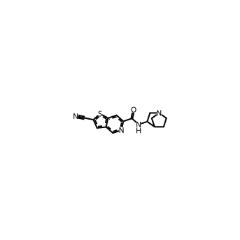 N#Cc1cc2cnc(C(=O)NC3CN4CCC3C4)cc2s1